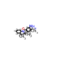 CC(=O)C1(C)CC=C(C(=O)N2c3ccccc3C(C)CC2(C)C)C=C1N